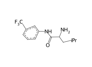 CC(C)CC(N)C(=O)Nc1cccc(C(F)(F)F)c1